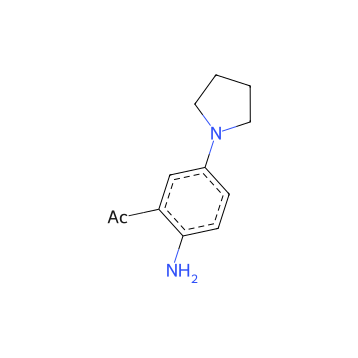 CC(=O)c1cc(N2CCCC2)ccc1N